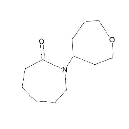 O=C1CCCCCN1C1CCCOCC1